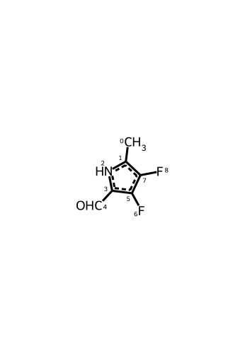 Cc1[nH]c(C=O)c(F)c1F